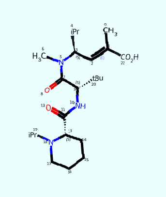 C/C(=C\[C@H](C(C)C)N(C)C(=O)[C@@H](NC(=O)[C@@H]1CCCCN1C(C)C)C(C)(C)C)C(=O)O